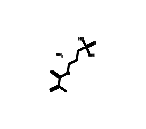 C=C(C)C(=O)OCCCP(=O)(O)O.N